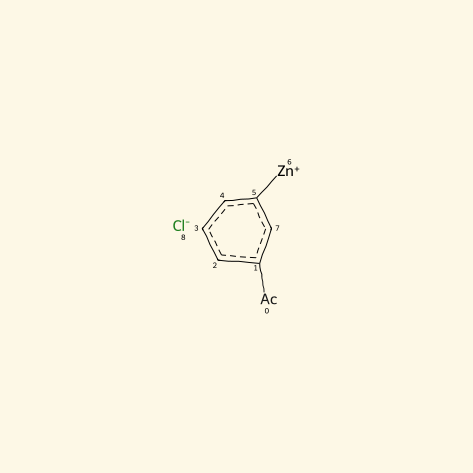 CC(=O)c1ccc[c]([Zn+])c1.[Cl-]